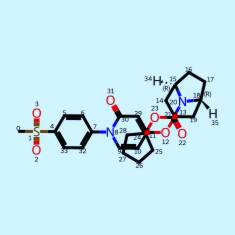 CS(=O)(=O)c1ccc(-n2ccc(OC3C[C@H]4CC[C@H](C3)N4C(=O)OC3CCCC3)cc2=O)cc1